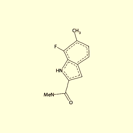 CNC(=O)c1cc2ccc(C)c(F)c2[nH]1